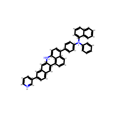 c1ccc(N(c2ccc(-c3ccc4c5c(cccc35)-c3cc5ccc(-c6cccnc6)cc5cc3N4)cc2)c2cccc3ccccc23)cc1